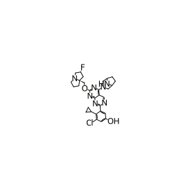 Oc1cc(Cl)c(C2CC2)c(-c2ncc3c(N4CC5CCC(C4)N5)nc(OC[C@@]45CCCN4C[C@H](F)C5)nc3n2)c1